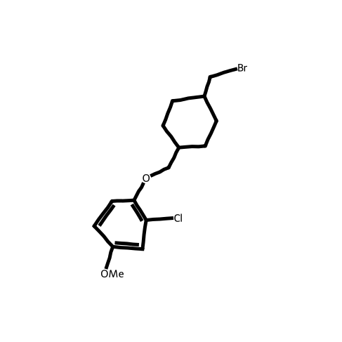 COc1ccc(OCC2CCC(CBr)CC2)c(Cl)c1